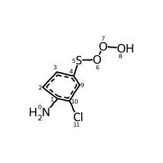 Nc1ccc(SOOO)cc1Cl